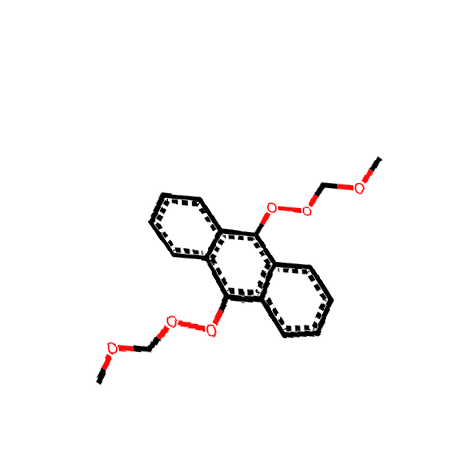 COCOOc1c2ccccc2c(OOCOC)c2ccccc12